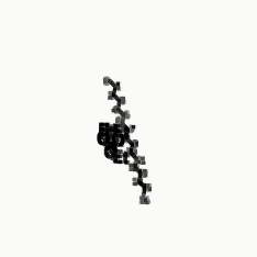 CCCCCCCCCCCCCCCCC.CCO[SiH](OCC)OCC